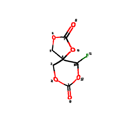 O=C1OCC2(COC(=O)O2)C(F)O1